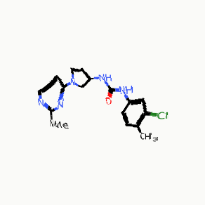 CNc1nccc(N2CC[C@@H](NC(=O)Nc3ccc(C)c(Cl)c3)C2)n1